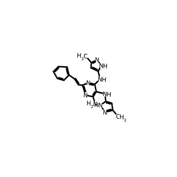 Cc1cc(Nc2nc(C=Cc3ccccc3)nc(N)c2Nc2cc(C)n[nH]2)[nH]n1